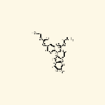 CCOC(=O)Oc1ccc(C2c3[nH]c4ccc(Cl)cc4c3CCN2C(=O)OCC)cc1